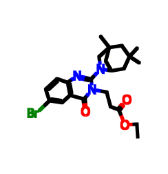 CCOC(=O)CCn1c(N2CC3(C)CC2CC(C)(C)C3)nc2ccc(Br)cc2c1=O